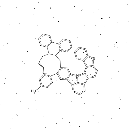 Cc1ccc2[n+](c1)/C=C/CC1c3ccccc3-c3cccc[n+]3C1Cc1cc3c(cc1-2)c1cccc2c4ccc5sc6ccccc6c5c4n3c12